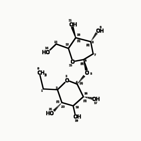 CCC1O[C@H](O[C@@H]2C[C@@H](O)[C@H](O)C(CO)O2)[C@H](O)C(O)[C@@H]1O